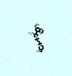 CC(C)(C)Oc1cc(C2CN(C(C)(C)CCC(C)(C)N3CCC4CNC4C3)C[C@@H]2N)c2nccnc2c1